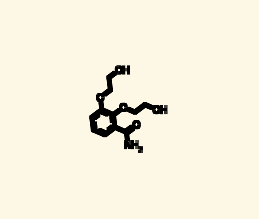 NC(=O)c1cccc(OCCO)c1OCCO